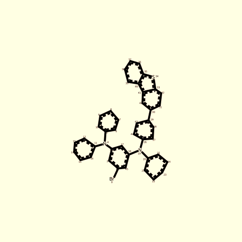 Brc1cc(N(c2ccccc2)c2ccccc2)cc(N(c2ccccc2)c2ccc(-c3ccc4sc5ccccc5c4c3)cc2)c1